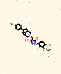 COc1c(C#N)ccc(NC(=O)C(C)(O)CN2CC3CC(c4ccc(C#N)cc4)C4C(C2)C34)c1F